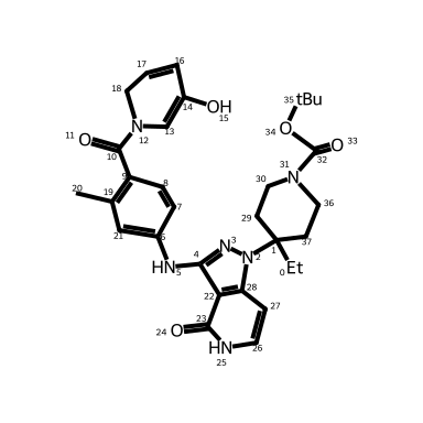 CCC1(n2nc(Nc3ccc(C(=O)N4C=C(O)C=CC4)c(C)c3)c3c(=O)[nH]ccc32)CCN(C(=O)OC(C)(C)C)CC1